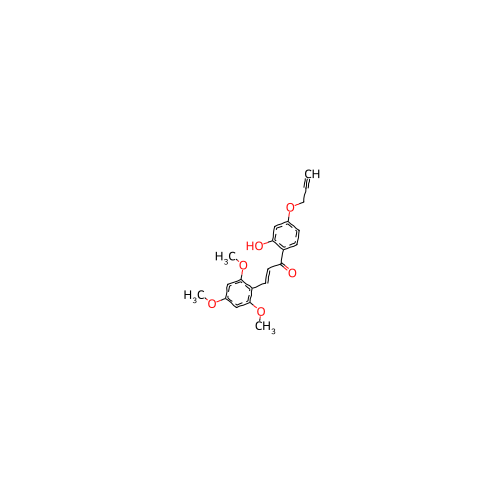 C#CCOc1ccc(C(=O)C=Cc2c(OC)cc(OC)cc2OC)c(O)c1